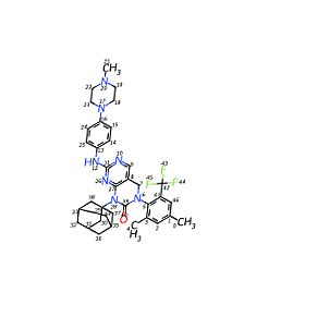 Cc1cc(C)c(N2Cc3cnc(Nc4ccc(N5CCN(C)CC5)cc4)nc3N(C34CC5CC(CC(C5)C3)C4)C2=O)c(C(F)(F)F)c1